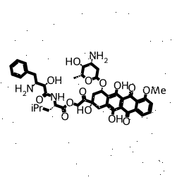 COc1cccc2c1C(=O)c1c(O)c3c(c(O)c1C2=O)C[C@@](O)(C(=O)COC(=O)[C@H](CC(C)C)NC(=O)[C@@H](O)[C@H](N)Cc1ccccc1)C[C@@H]3OC1C[C@@H](N)[C@@H](O)[C@H](C)O1